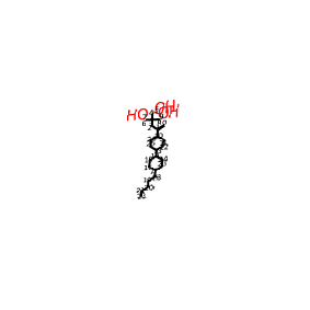 C=C(CC(CO)(CO)CO)C1CCC(C2CCC(CCCCC)CC2)CC1